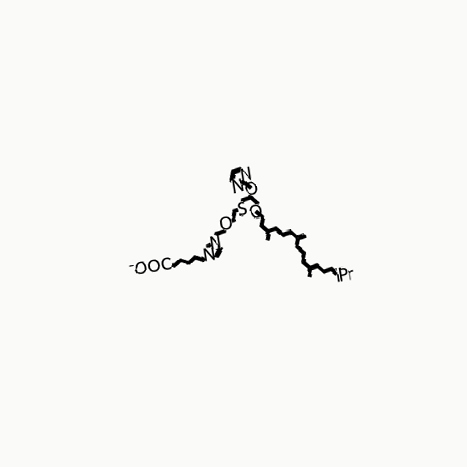 CC(C)CCCC(C)CCCC(C)CCCC(C)CCOCC(CSCCOCCN1C=C[N+](=CCCCCC(=O)[O-])C1)Oc1ncccn1